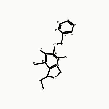 [CH2]CC1OCc2c(C)c(OCc3ccccc3)c(C)c(C)c21